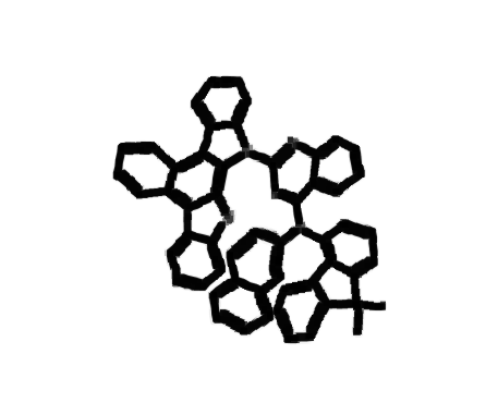 CC1(C)c2ccccc2-c2c(N(c3ccc4ccccc4c3)c3nc(-n4c5ccccc5c5c6ccccc6c6c7ccccc7sc6c54)nc4ccccc34)cccc21